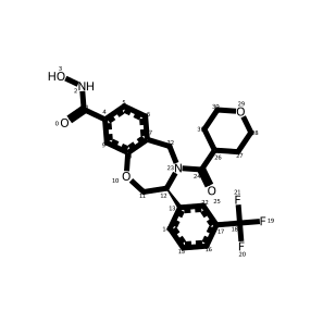 O=C(NO)c1ccc2c(c1)OC[C@H](c1cccc(C(F)(F)F)c1)N(C(=O)C1CCOCC1)C2